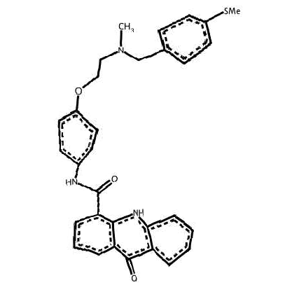 CSc1ccc(CN(C)CCOc2ccc(NC(=O)c3cccc4c(=O)c5ccccc5[nH]c34)cc2)cc1